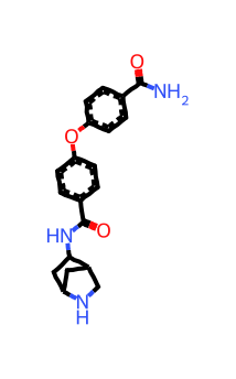 NC(=O)c1ccc(Oc2ccc(C(=O)NC3CC4CC3CN4)cc2)cc1